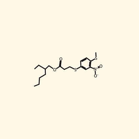 CCCCC(CC)COC(=O)CCSc1ccc(SC)c([N+](=O)[O-])c1